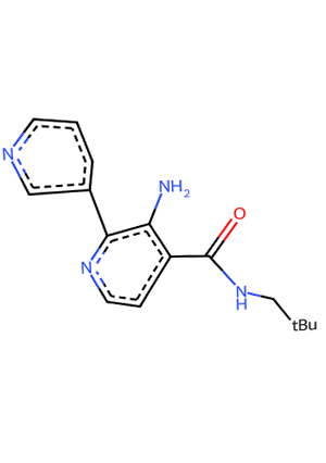 CC(C)(C)CNC(=O)c1ccnc(-c2cccnc2)c1N